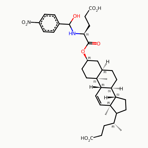 C[C@H](CCC(=O)O)C1CC[C@H]2[C@@H]3CC[C@@H]4C[C@H](OC(=O)[C@H](CCC(=O)O)NC(O)c5ccc([N+](=O)[O-])cc5)CC[C@]4(C)[C@H]3C=C[C@]12C